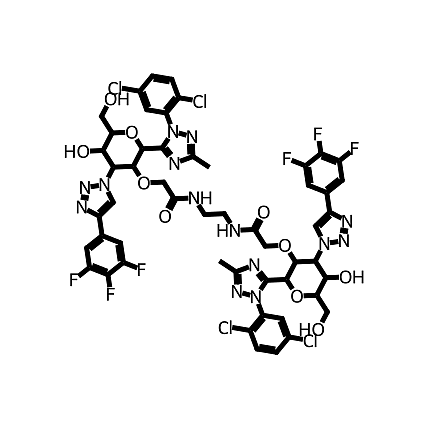 Cc1nc(C2OC(CO)C(O)C(n3cc(-c4cc(F)c(F)c(F)c4)nn3)C2OCC(=O)NCCNC(=O)COC2C(c3nc(C)nn3-c3cc(Cl)ccc3Cl)OC(CO)C(O)C2n2cc(-c3cc(F)c(F)c(F)c3)nn2)n(-c2cc(Cl)ccc2Cl)n1